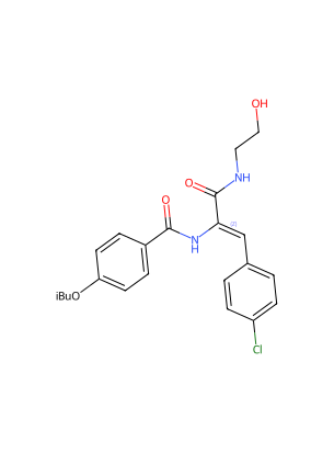 CC(C)COc1ccc(C(=O)N/C(=C\c2ccc(Cl)cc2)C(=O)NCCO)cc1